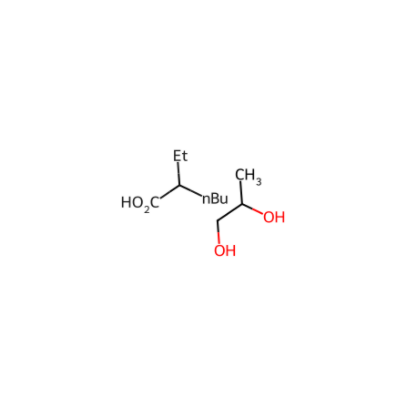 CC(O)CO.CCCCC(CC)C(=O)O